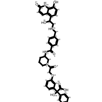 O=C(NC1CCCN(C(=O)COc2cccc(C(O)(C(=O)O)c3ccccc3)c2)C1)c1ccc(CNCC(O)c2ccc(O)c3[nH]c(=O)ccc23)cc1